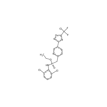 CCOP(=O)(Cc1ccc(-c2noc(C(F)(F)Cl)n2)cn1)Nc1c(Cl)cccc1Cl